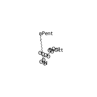 CCCCCC=CCC=CCCCCCCCC(=O)OCC(COC(=O)CCC(OCCCCCCCC)OCCCCCCCC)COC(=O)[C@@H]1CCCN1C